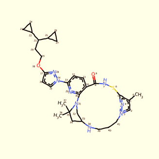 Cc1cn2nc1SNC(=O)c1ccc(-n3ccc(OCCC(C4CC4)C4CC4)n3)nc1N1CC(CC1(C)C)NCCC2